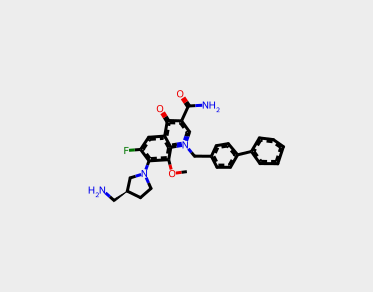 COc1c(N2CC[C@@H](CN)C2)c(F)cc2c(=O)c(C(N)=O)cn(Cc3ccc(-c4ccccc4)cc3)c12